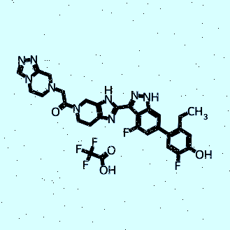 CCc1cc(O)c(F)cc1-c1cc(F)c2c(-c3nc4c([nH]3)CN(C(=O)CN3CCn5cnnc5C3)CC4)n[nH]c2c1.O=C(O)C(F)(F)F